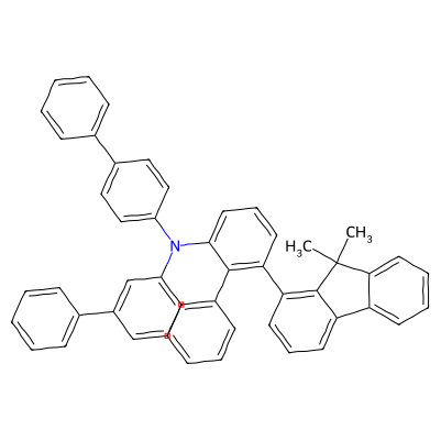 CC1(C)c2ccccc2-c2cccc(-c3cccc(N(c4ccc(-c5ccccc5)cc4)c4cccc(-c5ccccc5)c4)c3-c3ccccc3)c21